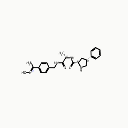 C[C@H](NC(=O)[C@H]1C[C@H](c2ccccc2)CN1)C(=O)NCc1ccc(/C(N)=N/O)cc1